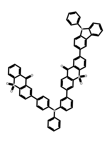 O=C1c2ccccc2S(=O)(=O)c2ccc(-c3ccc(N(c4ccccc4)c4cccc(-c5ccc6c(c5)S(=O)(=O)c5ccc(-c7ccc8c(c7)c7ccccc7n8-c7ccccc7)cc5C6=O)c4)cc3)cc21